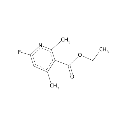 CCOC(=O)c1c(C)cc(F)nc1C